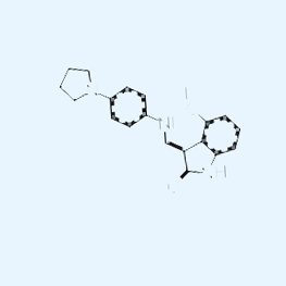 Cc1cccc2c1/C(=C\Nc1ccc(N3CCCC3)cc1)C(=O)N2